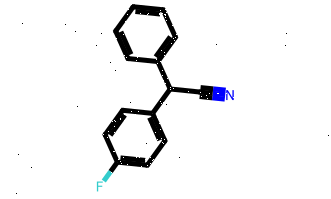 N#CC(c1ccccc1)c1ccc(F)cc1